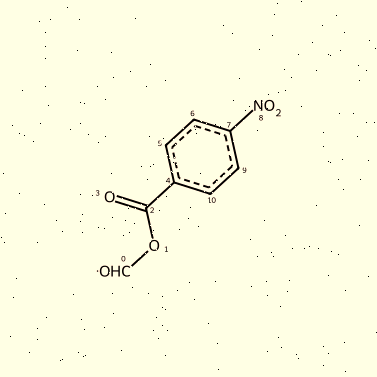 O=[C]OC(=O)c1ccc([N+](=O)[O-])cc1